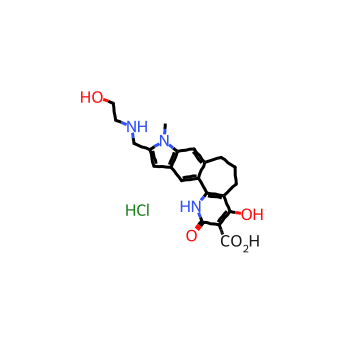 Cl.Cn1c(CNCCO)cc2cc3c(cc21)CCCc1c-3[nH]c(=O)c(C(=O)O)c1O